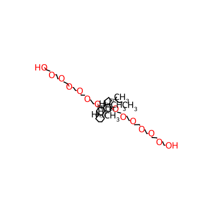 CCCC(C)[C@H]1CC[C@H]2[C@@H]3[C@H](OCCOCCOCCOCCOCCOCCO)C[C@@H]4CCCC[C@]4(C)[C@H]3C[C@H](OCCOCCOCCOCCOCCOCCO)[C@]12C